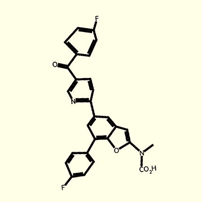 CN(C(=O)O)c1cc2cc(-c3ccc(C(=O)c4ccc(F)cc4)cn3)cc(-c3ccc(F)cc3)c2o1